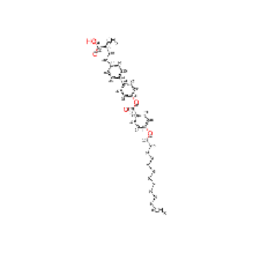 CCCCCCCCCCCCOc1ccc(C(=O)Oc2ccc(-c3ccc(CC[C@H](C)C(=O)O)cc3)cc2)cc1